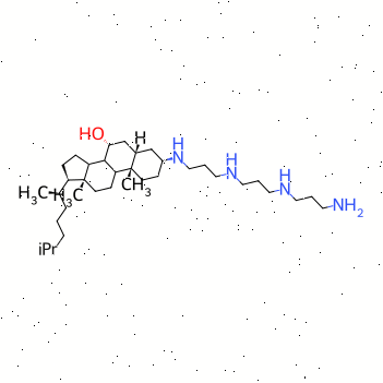 CC(C)CCC[C@@H](C)[C@H]1CCC2C3C(CC[C@@]21C)[C@@]1(C)CC[C@H](NCCCNCCCNCCCN)C[C@H]1C[C@H]3O